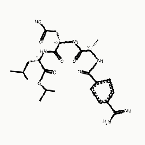 CC(C)C[C@H](NC(=O)[C@H](CC(=O)O)NC(=O)[C@H](C)NC(=O)c1ccc(C(=N)N)cc1)C(=O)OC(C)C